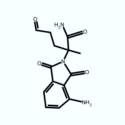 CC(CCC=O)(C(N)=O)N1C(=O)c2cccc(N)c2C1=O